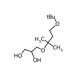 CC(C)(C)OCCC(C)(C)OCC(O)CO